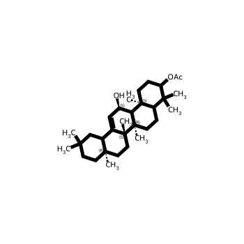 CC(=O)OC1CC[C@@]2(C)C(CC[C@]3(C)C2[C@H](O)C=C2C4CC(C)(C)CC[C@]4(C)CC[C@]23C)C1(C)C